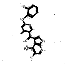 Cc1cc(Oc2ccccc2F)ncc1C(=O)c1c[nH]c2ncc(C#N)c(N)c12